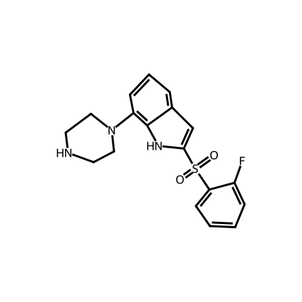 O=S(=O)(c1cc2cccc(N3CCNCC3)c2[nH]1)c1ccccc1F